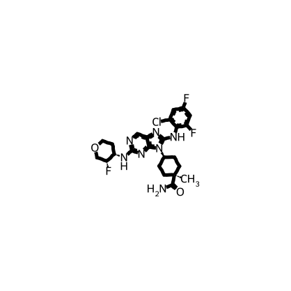 C[C@]1(C(N)=O)CC[C@@H](n2c(Nc3c(F)cc(F)cc3Cl)nc3cnc(N[C@H]4CCOC[C@H]4F)nc32)CC1